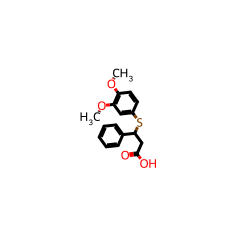 COc1ccc(SC(CC(=O)O)c2ccccc2)cc1OC